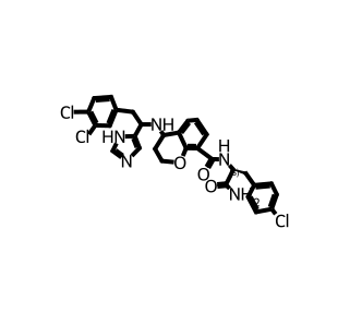 NC(=O)[C@H](Cc1ccc(Cl)cc1)NC(=O)c1cccc2c1OCCC2NC(Cc1ccc(Cl)c(Cl)c1)c1cnc[nH]1